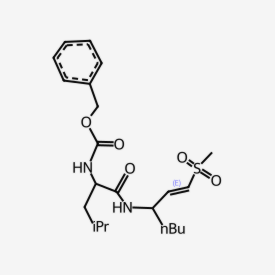 CCCCC(/C=C/S(C)(=O)=O)NC(=O)C(CC(C)C)NC(=O)OCc1ccccc1